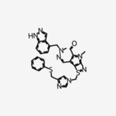 CN(Cc1cccc2[nH]ncc12)/N=C\c1c2c(n(C)c1C=O)N=S2Cn1cnc(CSc2ccccc2)c1